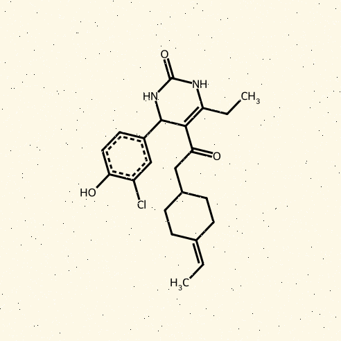 CC=C1CCC(CC(=O)C2=C(CC)NC(=O)NC2c2ccc(O)c(Cl)c2)CC1